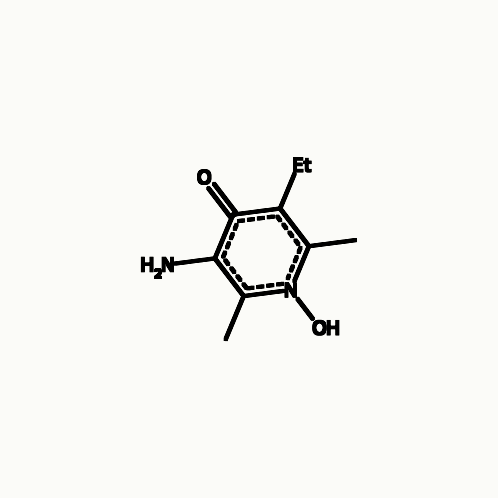 CCc1c(C)n(O)c(C)c(N)c1=O